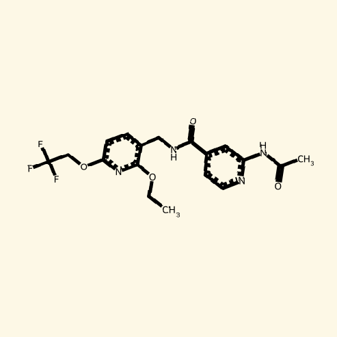 CCOc1nc(OCC(F)(F)F)ccc1CNC(=O)c1ccnc(NC(C)=O)c1